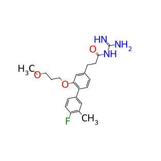 COCCCOc1cc(CCC(=O)NC(=N)N)ccc1-c1ccc(F)c(C)c1